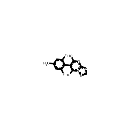 Cc1cc(F)c(-c2c(O)nc3ncnn3c2O)c(F)c1